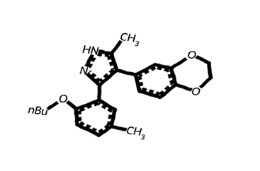 CCCCOc1ccc(C)cc1-c1n[nH]c(C)c1-c1ccc2c(c1)OCCO2